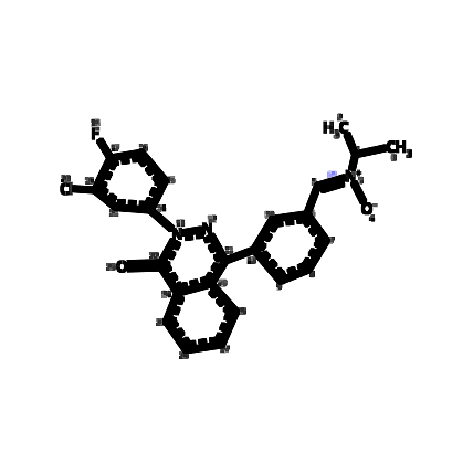 CC(C)/[N+]([O-])=C/c1cccc(-c2nn(-c3ccc(F)c(Cl)c3)c(=O)c3ccccc23)c1